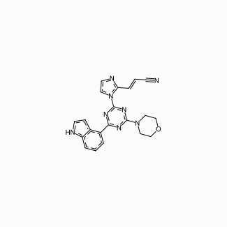 N#C/C=C/c1nccn1-c1nc(-c2cccc3[nH]ccc23)nc(N2CCOCC2)n1